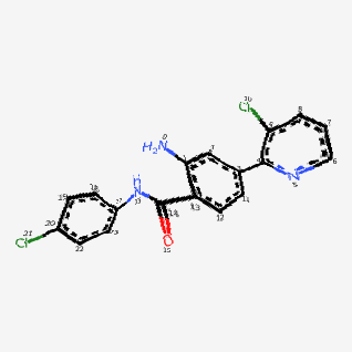 Nc1cc(-c2ncccc2Cl)ccc1C(=O)Nc1ccc(Cl)cc1